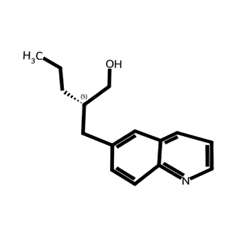 CCC[C@H](CO)Cc1ccc2ncccc2c1